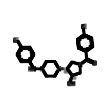 O=C(c1ccc(Cl)cc1)N1C[C@@H](O)[C@H](N2CCN(Nc3ccc(Cl)cc3)CC2)C1